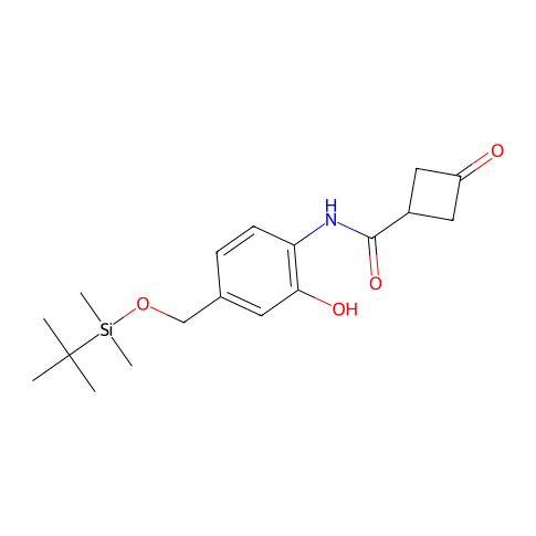 CC(C)(C)[Si](C)(C)OCc1ccc(NC(=O)C2CC(=O)C2)c(O)c1